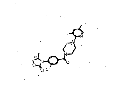 Cc1cnc(N2CCN(C(=O)c3ccc(N4C(=O)OC[C@H]4C)c(Cl)c3)CC2)c(C)c1